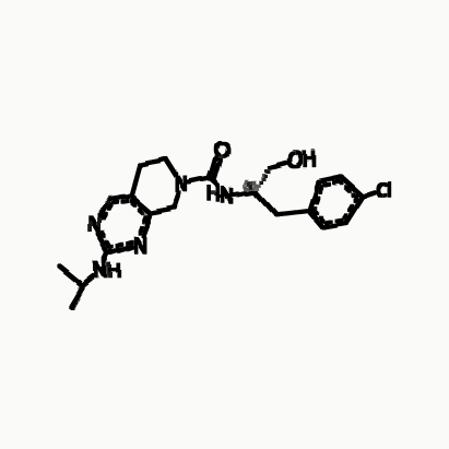 CC(C)Nc1ncc2c(n1)CN(C(=O)N[C@H](CO)Cc1ccc(Cl)cc1)CC2